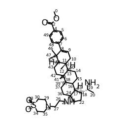 COC(=O)c1ccc(C2=CC[C@]3(C)[C@H]4CCC5[C@H]6[C@H](C(C)N)CC[C@]6(NCCN6CCS(=O)(=O)CC6)CC[C@@]5(C)[C@]4(C)CC[C@H]3C2(C)C)cc1